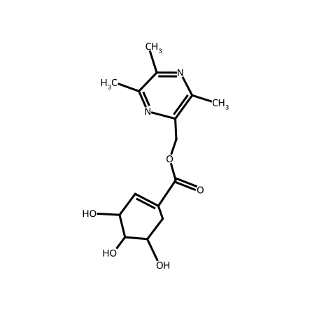 Cc1nc(C)c(COC(=O)C2=CC(O)C(O)C(O)C2)nc1C